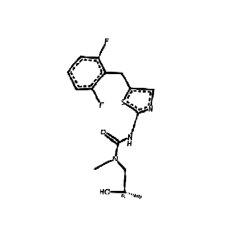 C[C@H](O)CN(C)C(=O)Nc1ncc(Cc2c(F)cccc2F)s1